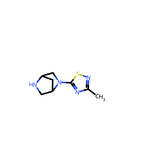 Cc1nsc(N2CC3CC2CN3)n1